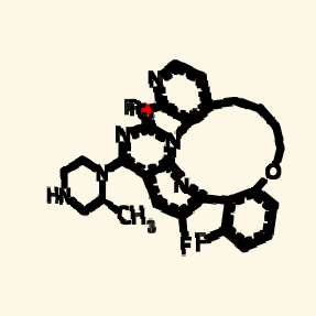 CC(C)c1nccc2c1-n1c(=O)nc(N3CCNC[C@@H]3C)c3cc(F)c(nc31)-c1c(F)cccc1OCCCC2